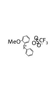 COc1ccccc1[I+]c1ccccc1.O=S(=O)([O-])C(F)(F)F